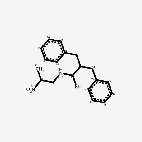 CC(CNC(N)C(Cc1ccccc1)Cc1ccccc1)[N+](=O)[O-]